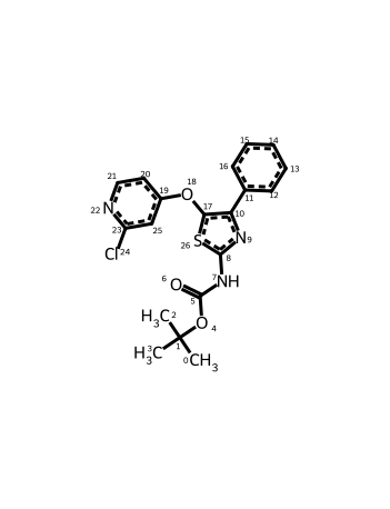 CC(C)(C)OC(=O)Nc1nc(-c2ccccc2)c(Oc2ccnc(Cl)c2)s1